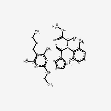 CCCCc1c(C)nc(NCC)nc1O.COC(=O)C(C)N(C(=O)c1ccco1)c1c(C)cccc1C